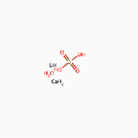 O.O=S(=O)(O)O.[CaH2].[LiH]